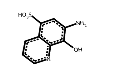 Nc1cc(S(=O)(=O)O)c2cccnc2c1O